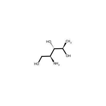 C[C@@H](O)[C@@H](O)[C@@H](N)CO